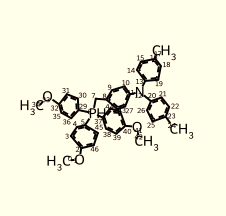 COc1ccc([PH](Cc2ccc(N(c3ccc(C)cc3)c3ccc(C)cc3)cc2)(c2ccc(OC)cc2)c2ccc(OC)cc2)cc1